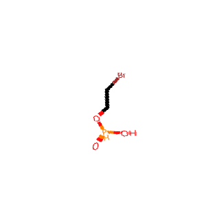 O=[PH](O)OCCBr